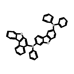 c1ccc(N(c2ccccc2)c2ccc3oc4cc(N(c5ccccc5)c5cc6oc7ccccc7c6c6ccccc56)ccc4c3c2)cc1